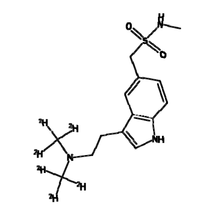 [2H]C([2H])([2H])N(CCc1c[nH]c2ccc(CS(=O)(=O)NC)cc12)C([2H])([2H])[2H]